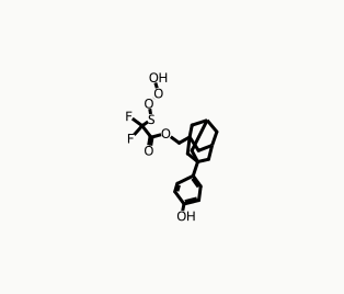 O=C(OCC12CC3CC(C1)CC(c1ccc(O)cc1)(C3)C2)C(F)(F)SOOO